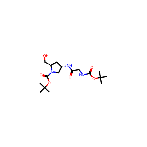 CC(C)(C)OC(=O)NCC(=O)N[C@H]1C[C@H](CO)N(C(=O)OC(C)(C)C)C1